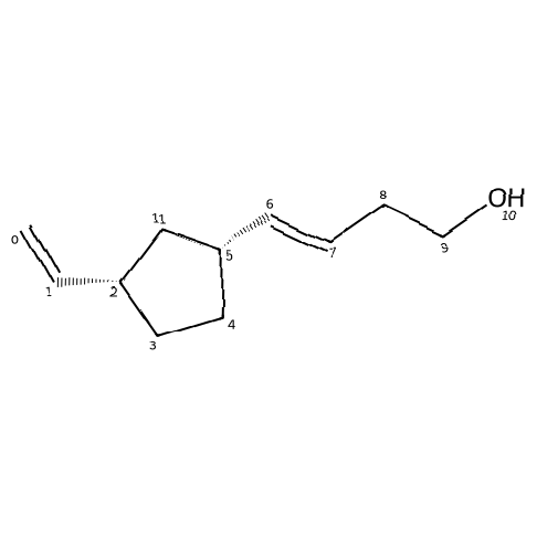 C=C[C@H]1CC[C@@H](C=CCCO)C1